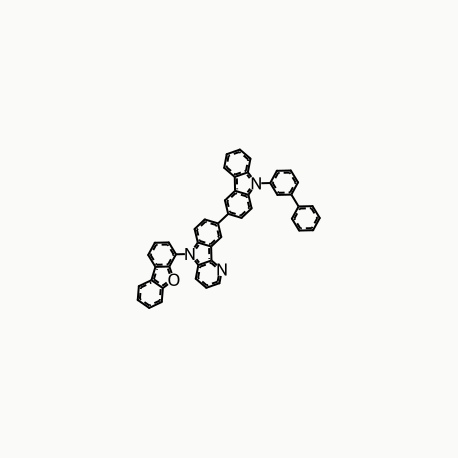 c1ccc(-c2cccc(-n3c4ccccc4c4cc(-c5ccc6c(c5)c5ncccc5n6-c5cccc6c5oc5ccccc56)ccc43)c2)cc1